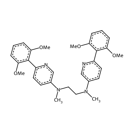 COc1cccc(OC)c1-c1ccc(N(C)CCN(C)c2ccc(-c3c(OC)cccc3OC)nc2)cn1